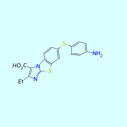 CCc1nc2sc3cc(Sc4ccc(N)cc4)ccc3n2c1C(=O)O